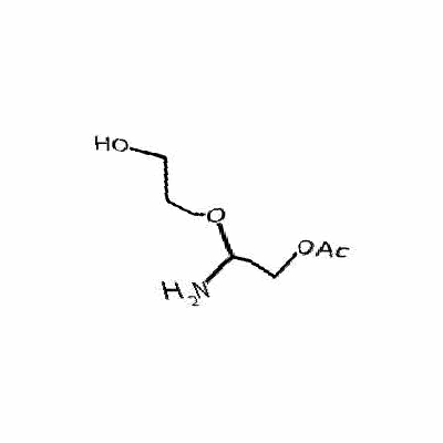 CC(=O)OCC(N)OCCO